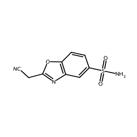 N#CCc1nc2cc(S(N)(=O)=O)ccc2o1